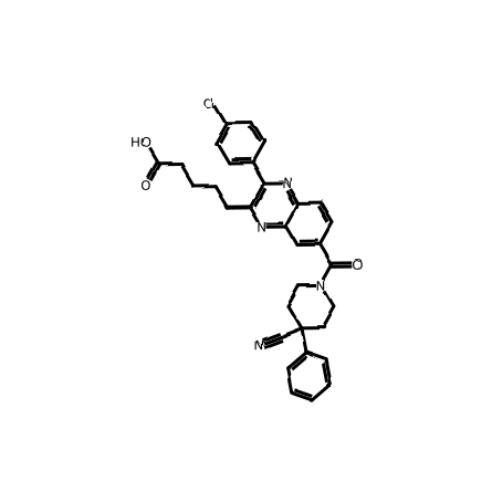 N#CC1(c2ccccc2)CCN(C(=O)c2ccc3nc(-c4ccc(Cl)cc4)c(CCCCC(=O)O)nc3c2)CC1